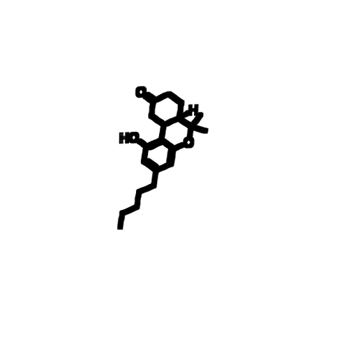 CCCCCc1cc(O)c2c(c1)OC(C)(C)[C@H]1CCC(=O)CC21